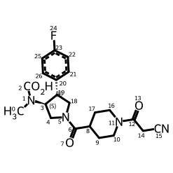 CN(C(=O)O)[C@@H]1CN(C(=O)C2CCN(C(=O)CC#N)CC2)C[C@H]1c1ccc(F)cc1